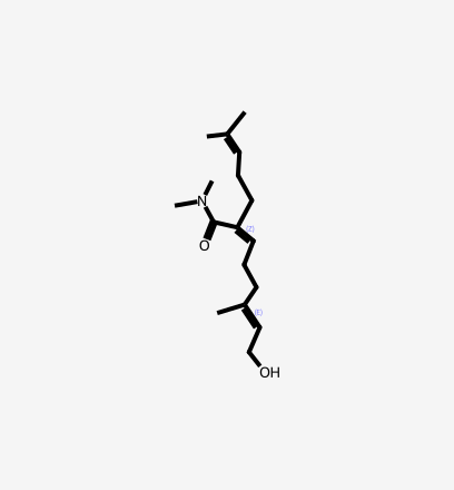 CC(C)=CCC/C(=C/CC/C(C)=C/CO)C(=O)N(C)C